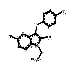 Cc1c(Sc2ccc(C(F)(F)F)cc2)c2cc(F)ccc2n1CC(=O)O